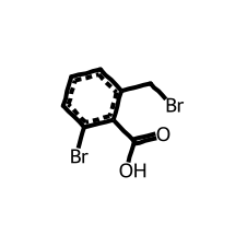 O=C(O)c1c(Br)cccc1CBr